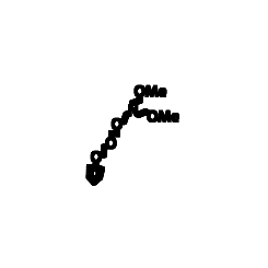 COCCN(CCOC)CCOCCOCCOc1ccccc1